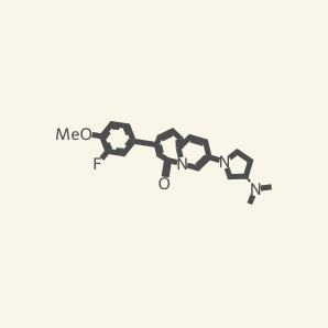 COc1ccc(C2=C\C(=O)N3C=C(N4CC[C@H](N(C)C)C4)C=C\C3=C/C=C/2)cc1F